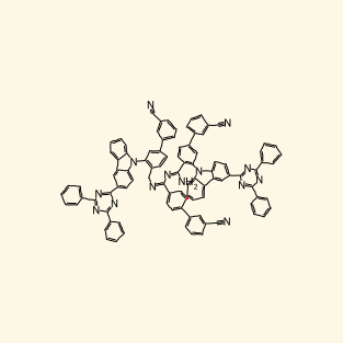 N#Cc1cccc(-c2ccc(C(=N/Cc3ccc(-c4cccc(C#N)c4)cc3-n3c4ccccc4c4cc(-c5nc(-c6ccccc6)nc(-c6ccccc6)n5)ccc43)/N=C(\N)c3ccc(-c4cccc(C#N)c4)cc3-n3c4ccccc4c4cc(-c5nc(-c6ccccc6)nc(-c6ccccc6)n5)ccc43)cc2)c1